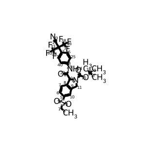 CCS(=O)(=O)c1ccc2c(c1)CN(C(=O)OC(C)(C)C)C2C(=O)Nc1ccc(C(C#N)(C(F)(F)F)C(F)(F)F)cc1